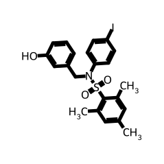 Cc1cc(C)c(S(=O)(=O)N(Cc2cccc(O)c2)c2ccc(I)cc2)c(C)c1